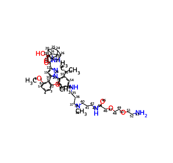 COc1cccc(OC)c1-c1cc(C(=O)NC2(C(=O)O)C3CC4CC(C3)C2C4)nn1-c1ccc(NCCCN(C)CCCNC(=O)COCCOCCN)cc1C(C)C